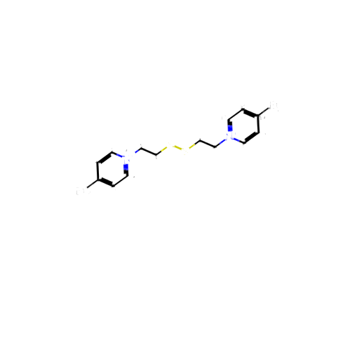 CCc1cc[n+](CCSSCC[n+]2ccc(CC)cc2)cc1